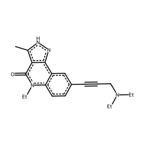 CCN(CC)CC#Cc1ccc2c(c1)c1n[nH]c(C)c1c(=O)n2CC